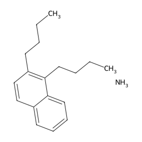 CCCCc1ccc2ccccc2c1CCCC.N